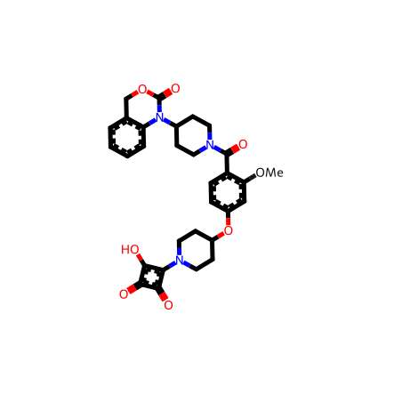 COc1cc(OC2CCN(c3c(O)c(=O)c3=O)CC2)ccc1C(=O)N1CCC(N2C(=O)OCc3ccccc32)CC1